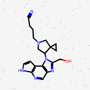 N#CCCCN1CC(n2c(CO)nc3cnc4[nH]ccc4c32)C2(CC2)C1